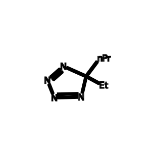 CCCC1(CC)N=NN=N1